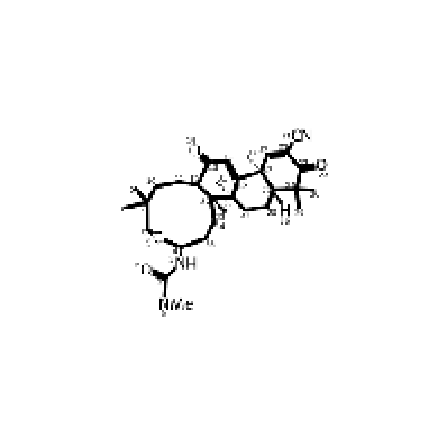 CNC(=O)N[C@H]1CCC(C)(C)CCC2C(=O)C=C3[C@@]4(C)C=C(C#N)C(=O)C(C)(C)[C@@H]4CC[C@@]3(C)[C@]2(C)CC1